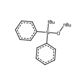 C[CH]CCO[Si](c1ccccc1)(c1ccccc1)C(C)(C)C